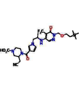 CC(Cn1ccc(C(=O)N2CCN(C(=O)O)CC2CC#N)c1)Nc1cnn(COCC[Si](C)(C)C)c(=O)c1C(F)(F)F